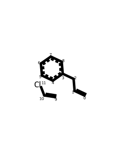 C=CCc1ccccc1.C=CCl